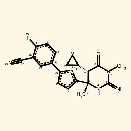 CN1C(=N)N[C@](C)(c2ccc(-c3ccc(F)c(C#N)c3)s2)[C@H](C2CC2)C1=O